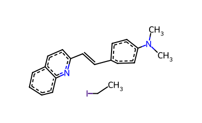 CCI.CN(C)c1ccc(C=Cc2ccc3ccccc3n2)cc1